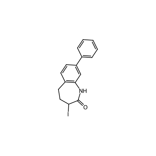 O=C1Nc2cc(-c3ccccc3)ccc2CCC1I